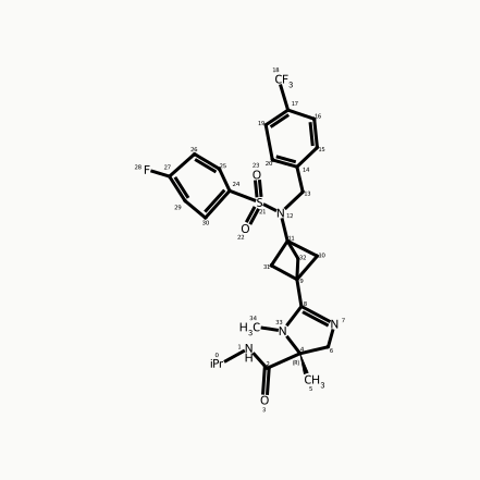 CC(C)NC(=O)[C@@]1(C)CN=C(C23CC(N(Cc4ccc(C(F)(F)F)cc4)S(=O)(=O)c4ccc(F)cc4)(C2)C3)N1C